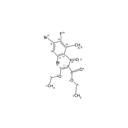 CCO/C=C(\C(=O)OCC)C(=O)c1c(Br)cc(Br)c(F)c1C